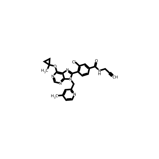 C#CCNC(=O)c1ccc(-c2nc3c(OC4(C)CC4)ncnc3n2Cc2cc(C)ccn2)c(Cl)c1